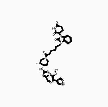 CC(C)Oc1c(-c2cn[nH]c2)ncc2nc(N[C@H]3CCN(C(=O)CCCCCn4c(=O)n(C5CCC(=O)NC5=O)c5ccccc54)C[C@H]3C)nn12